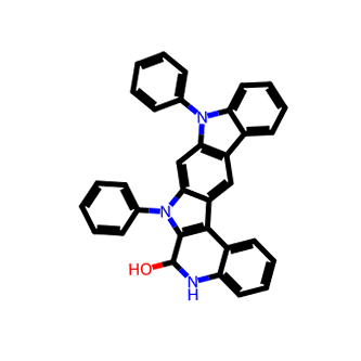 OC1Nc2ccccc2-c2c1n(-c1ccccc1)c1cc3c(cc21)c1ccccc1n3-c1ccccc1